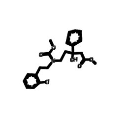 COC(=O)CC(O)(CCN(CCc1ccccc1Cl)C(=O)OC)c1ccccc1